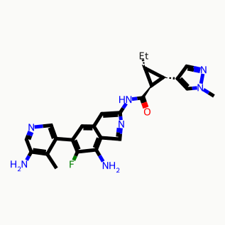 CC[C@H]1[C@H](C(=O)Nc2cc3cc(-c4cncc(N)c4C)c(F)c(N)c3cn2)[C@H]1c1cnn(C)c1